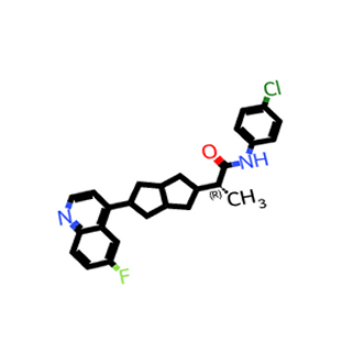 C[C@@H](C(=O)Nc1ccc(Cl)cc1)C1CC2CC(c3ccnc4ccc(F)cc34)CC2C1